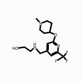 CN1CCC(Oc2cc(CNCCO)cc(C(F)(F)F)n2)CC1